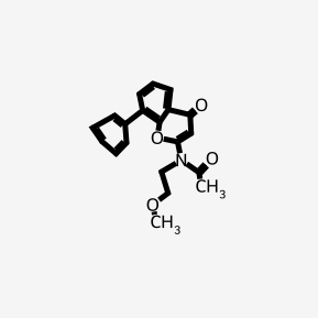 COCCN(C(C)=O)c1cc(=O)c2cccc(-c3ccccc3)c2o1